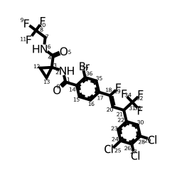 O=C(NC1(C(=O)NCC(F)(F)F)CC1)c1ccc(C(F)=CC(c2cc(Cl)c(Cl)c(Cl)c2)C(F)(F)F)cc1Br